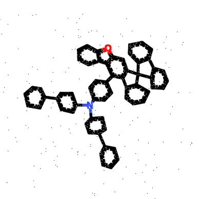 c1ccc(-c2ccc(N(c3ccc(-c4ccccc4)cc3)c3ccc(-c4c5c(cc6oc7ccccc7c46)C4(c6ccccc6-c6ccccc64)c4ccccc4-5)cc3)cc2)cc1